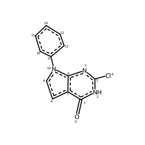 O=c1[nH]c(Cl)nc2c1ccn2-c1ccccc1